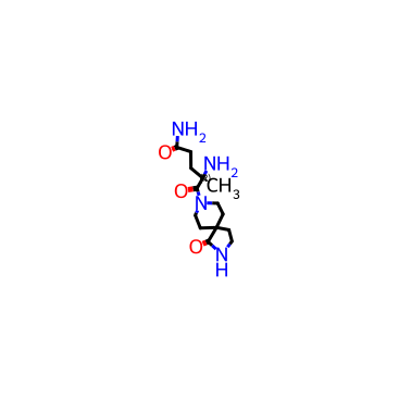 C[C@@](N)(CCC(N)=O)C(=O)N1CCC2(CCNC2=O)CC1